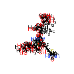 CC(=O)NC1(C)C(C)(COC[C@]2(C)OC(C)(CO)[C@](C)(O)C(C)(O)C2(C)O)[C@H](O)C(C)(CO)O[C@]1(C)CC(CCCC(=O)OC[C@]1(C)OC(C)(CO)[C@@H](O)C(C)(COC[C@]2(C)OC(C)(CO)[C@](C)(O)C(C)(O)C2(C)O)C1(C)NC(C)=O)(OC(=O)CCCCC1SC[C@@H]2NC(=O)N[C@H]12)C1SC[C@@H]2NC(=O)N[C@H]12